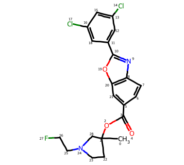 CC1(OC(=O)c2ccc3nc(-c4cc(Cl)cc(Cl)c4)oc3c2)CCN(CCF)C1